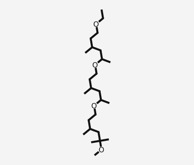 CCOCCC(C)CC(C)OCCC(C)CC(C)OCCC(C)CC(C)(C)OC